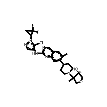 Cc1cc2cnc(Nc3cnn(C4CC4(F)F)c3Cl)nc2cc1C1CCN(C2(C)COC[C@@H]2O)CC1